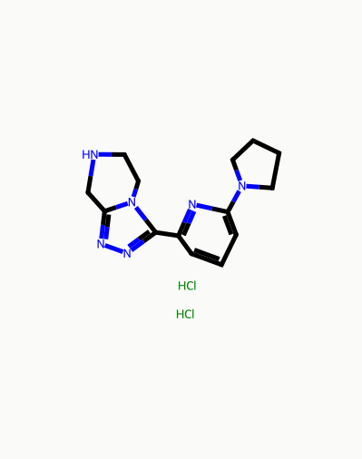 Cl.Cl.c1cc(-c2nnc3n2CCNC3)nc(N2CCCC2)c1